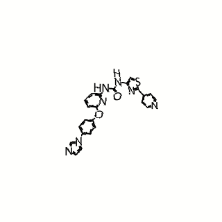 O=C(Nc1cccc(Oc2ccc(-n3ccnc3)cc2)n1)Nc1csc(-c2ccncc2)n1